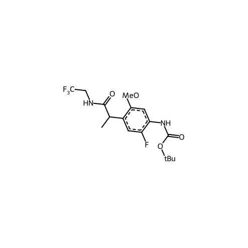 COc1cc(NC(=O)OC(C)(C)C)c(F)cc1C(C)C(=O)NCC(F)(F)F